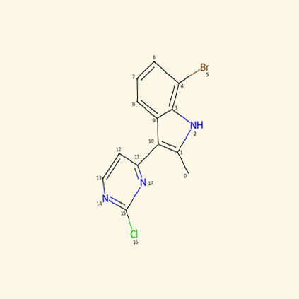 Cc1[nH]c2c(Br)cccc2c1-c1ccnc(Cl)n1